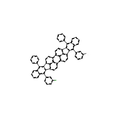 Fc1cccc(-c2c3c(c(-c4ccccc4)c4ccccc24)-c2ccc4c5ccc6c7c(ccc(c8ccc-3c2c48)c75)-c2c-6c(-c3ccccc3)c3ccccc3c2-c2cccc(C(F)(F)F)c2)c1